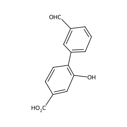 O=Cc1cccc(-c2ccc(C(=O)O)cc2O)c1